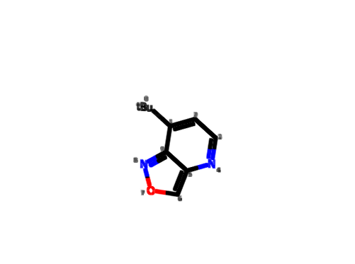 CC(C)(C)c1ccnc2conc12